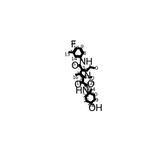 CCc1c(C(=O)Nc2ccc(F)c(C)c2)c(C)c(C(=O)C(=O)NC2(C)CCC(O)CC2)n1C